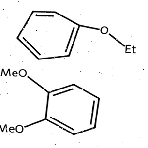 CCOc1ccccc1.COc1ccccc1OC